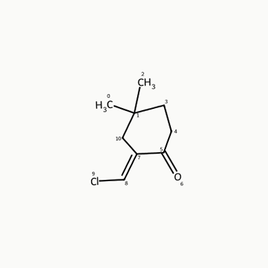 CC1(C)CCC(=O)C(=CCl)C1